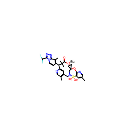 Cc1cnc2c(c1)S(O)(O)N(Cc1cc(C(c3ccn4c(C(F)F)nnc4c3C)C(C)(C)C(=O)OC(C)(C)C)ncc1C)CC1(CC1)O2